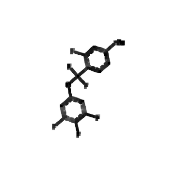 CCCCc1ccc(C(F)(F)Oc2cc(F)c(F)c(F)c2)c(F)c1